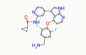 NCc1cc(F)c(Oc2ccnc3[nH]cc(-c4ccnc(NC(=O)C5CC5)c4)c23)c(F)c1